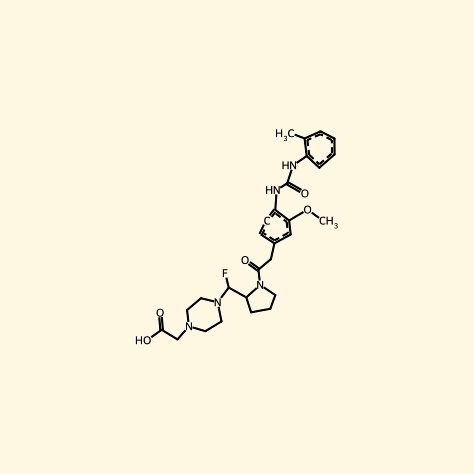 COc1cc(CC(=O)N2CCCC2C(F)N2CCN(CC(=O)O)CC2)ccc1NC(=O)Nc1ccccc1C